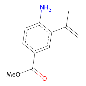 C=C(C)c1cc(C(=O)OC)ccc1N